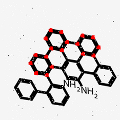 Nc1c(N)c(-c2ccccc2-c2ccccc2-c2ccccc2)c(-c2ccccc2-c2ccccc2)c(-c2ccccc2-c2ccccc2)c1-c1ccccc1-c1ccccc1